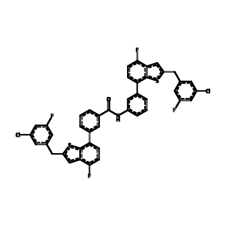 O=C(Nc1cccc(-c2ccc(F)c3cc(Cc4cc(F)cc(Cl)c4)sc23)c1)c1cccc(-c2ccc(F)c3cc(Cc4cc(F)cc(Cl)c4)sc23)c1